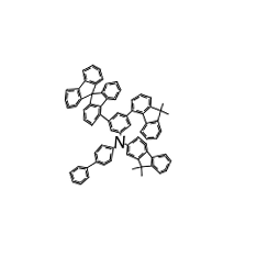 CC1(C)c2ccccc2-c2ccc(N(c3ccc(-c4ccccc4)cc3)c3cc(-c4cccc5c4-c4ccccc4C5(C)C)cc(-c4cccc5c4-c4ccccc4C54c5ccccc5-c5ccccc54)c3)cc21